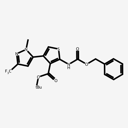 Cn1nc(C(F)(F)F)cc1-c1csc(NC(=O)OCc2ccccc2)c1C(=O)OC(C)(C)C